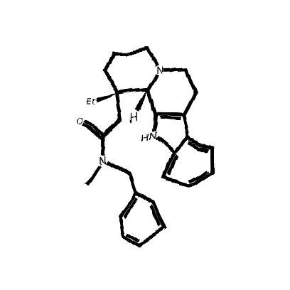 CC[C@@]1(CC(=O)N(C)Cc2ccccc2)CCCN2CCc3c([nH]c4ccccc34)[C@@H]21